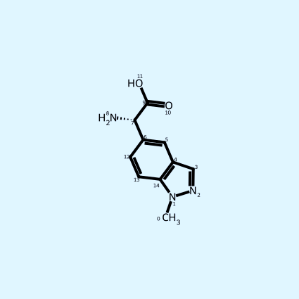 Cn1ncc2cc([C@H](N)C(=O)O)ccc21